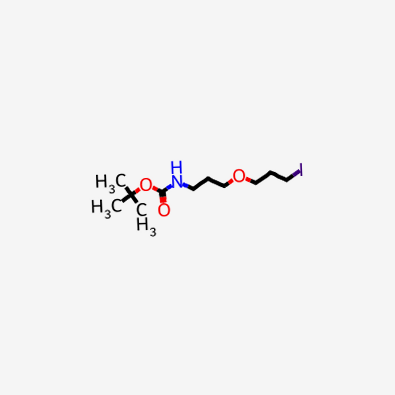 CC(C)(C)OC(=O)NCCCOCCCI